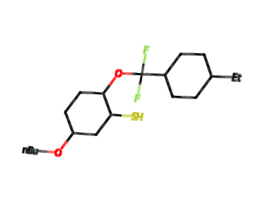 CCCCOC1CCC(OC(F)(F)C2CCC(CC)CC2)C(S)C1